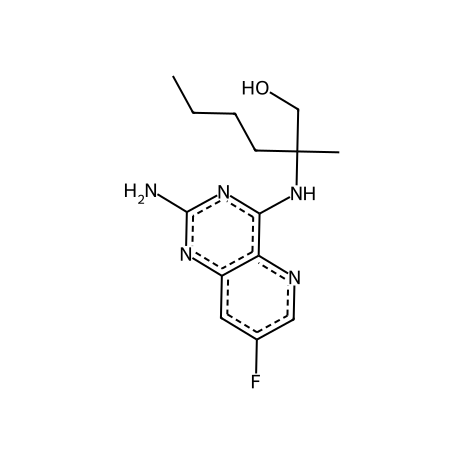 CCCCC(C)(CO)Nc1nc(N)nc2cc(F)cnc12